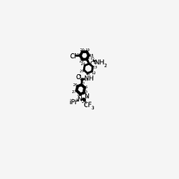 CC(C)n1c(C(F)(F)F)nc2cc(C(=O)N[C@H]3CC[C@](CN)(c4cccc(Cl)c4)CC3)ccc21